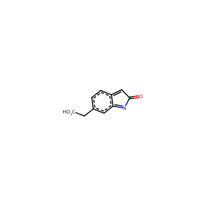 O=C(O)Cc1ccc2c(c1)=NC(=O)C=2